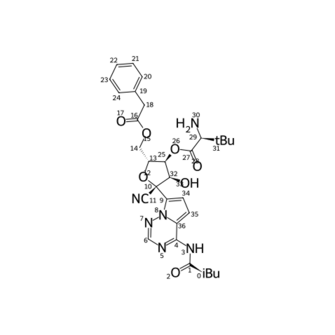 CC[C@H](C)C(=O)Nc1ncnn2c([C@]3(C#N)O[C@H](COC(=O)Cc4ccccc4)[C@@H](OC(=O)[C@@H](N)C(C)(C)C)[C@H]3O)ccc12